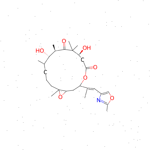 C/C(=C\c1coc(C)n1)C1CC2OC2(C)CCCC(C)[C@H](O)[C@@H](C)C(=O)C(C)(C)[C@@H](O)CC(=O)O1